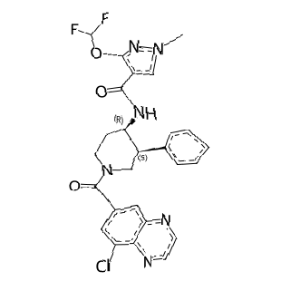 Cn1cc(C(=O)N[C@@H]2CCN(C(=O)c3cc(Cl)c4nccnc4c3)C[C@@H]2c2ccccc2)c(OC(F)F)n1